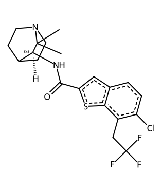 CC1(C)[C@@H](NC(=O)c2cc3ccc(Cl)c(CC(F)(F)F)c3s2)C2CCN1CC2